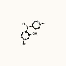 CCC(c1ccc(C)cc1)c1ccc(O)cc1O